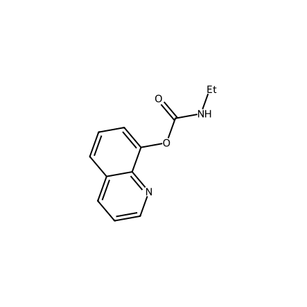 CCNC(=O)Oc1cccc2cccnc12